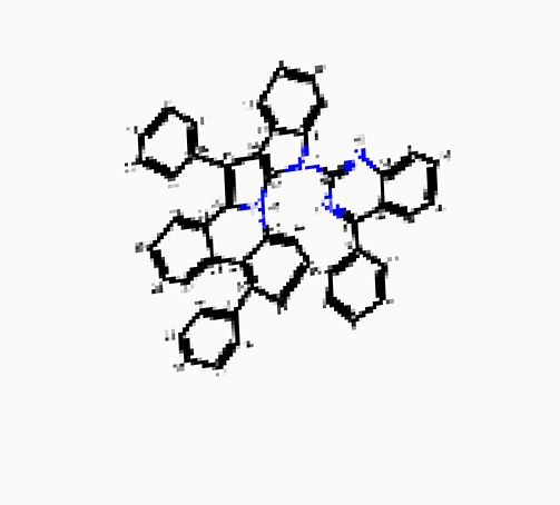 c1ccc(-c2nc(-n3c4ccccc4c4c(-c5ccccc5)c5c6ccccc6c6c(-c7ccccc7)cccc6n5c43)nc3ccccc23)cc1